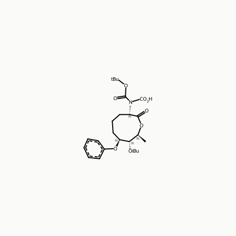 CC(C)CO[C@H]1[C@H](C)OC(=O)[C@@H](N(C(=O)O)C(=O)OC(C)(C)C)CCC[C@@H]1Oc1ccccc1